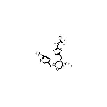 CC(=O)Nc1ncc(CN2C[C@@H](Cc3ccc(C)nc3)OC[C@@H]2C)s1